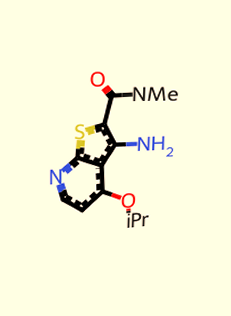 CNC(=O)c1sc2nccc(OC(C)C)c2c1N